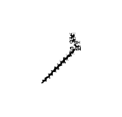 CCC=CCC=CCC=CCC=CCC=CCC=CCCC(=O)NC(C)CNC(=O)OC(C)(C)C